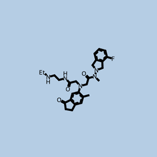 CCNCCNC(=O)CN(CC(=O)N(C)N1Cc2cccc(F)c2C1)c1cc2c(cc1C)CCC2=O